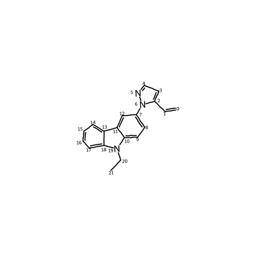 C=Cc1ccnn1-c1ccc2c(c1)c1ccccc1n2CC